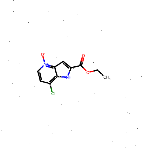 CCOC(=O)c1cc2c([nH]1)c(Cl)cc[n+]2[O-]